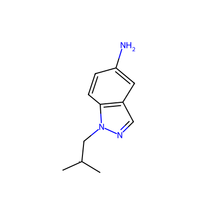 C[C](C)Cn1ncc2cc(N)ccc21